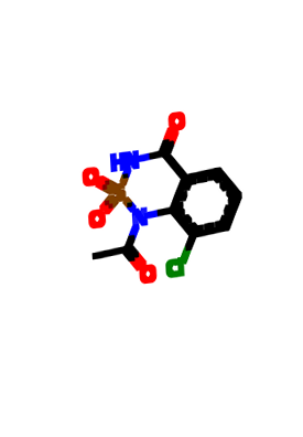 CC(=O)N1c2c(Cl)cccc2C(=O)NS1(=O)=O